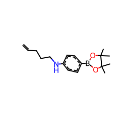 C=CCCCNc1ccc(B2OC(C)(C)C(C)(C)O2)cc1